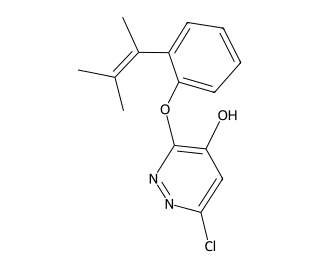 CC(C)=C(C)c1ccccc1Oc1nnc(Cl)cc1O